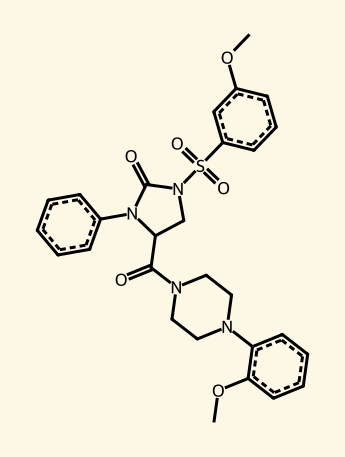 COc1cccc(S(=O)(=O)N2CC(C(=O)N3CCN(c4ccccc4OC)CC3)N(c3ccccc3)C2=O)c1